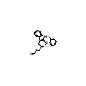 O=COC[C@H]1Cc2c([nH]c3ccccc23)[C@@H](c2ccccc2Br)N1